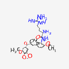 COc1ccc(C=C(C)C(=O)c2cc(OC)c3c(c2)OCO3)cc1NC(=O)C(N)CCCNC(=N)N